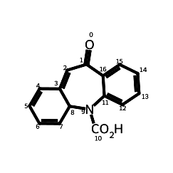 O=C1C=C2C=CC=CC2N(C(=O)O)c2ccccc21